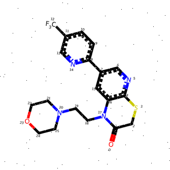 O=C1CSc2ncc(-c3ccc(C(F)(F)F)cn3)cc2N1CCN1CCOCC1